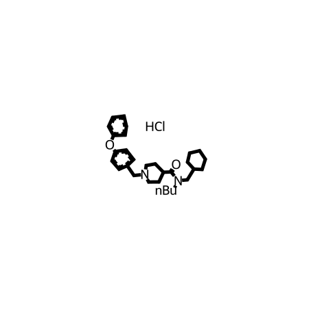 CCCCN(CC1CCCCC1)C(=O)C1CCN(Cc2ccc(Oc3ccccc3)cc2)CC1.Cl